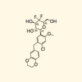 COc1cc(Cl)c(Cc2ccc3c(c2)OCCO3)cc1[C@@H]1O[C@H](CO)C(F)(F)[C@H](O)[C@H]1O